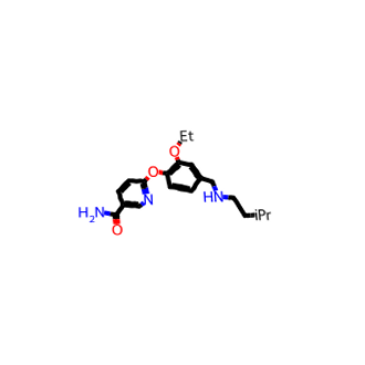 CCOc1cc(CNCCC(C)C)ccc1Oc1ccc(C(N)=O)cn1